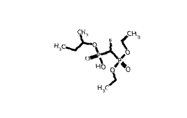 CCOP(=O)(OCC)C(F)P(=O)(O)OC(C)CC